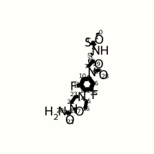 COC(=S)NC[C@H]1CN(c2cc(F)c(N3CCON(C(N)=O)CC3)c(F)c2)C(=O)O1